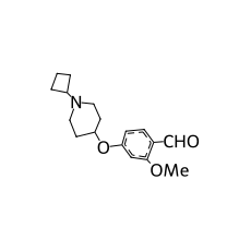 COc1cc(OC2CCN(C3CCC3)CC2)ccc1C=O